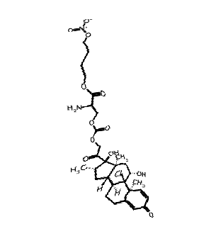 C[C@H]1C[C@H]2[C@@H]3CCC4=CC(=O)C=C[C@]4(C)[C@@]3(Cl)[C@@H](O)C[C@]2(C)C1(O)C(=O)COC(=O)OCC(N)C(=O)OCCCCO[N+](=O)[O-]